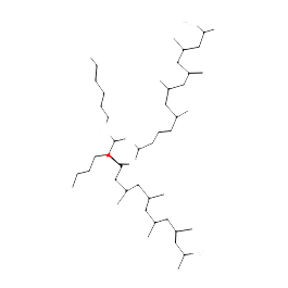 CCCCCCOC(CCCC(C)CC(C)CC(C)CC(C)CC(C)Br)OC(CCCC(C)CC(C)CC(C)CC(C)CC(C)Br)OCCCCCC